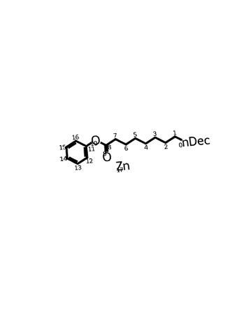 CCCCCCCCCCCCCCCCCC(=O)Oc1ccccc1.[Zn]